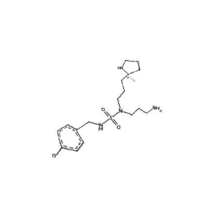 C[C@@]1(CCCN(CCCN)S(=O)(=O)NCc2ccc(Cl)cc2)CCCN1